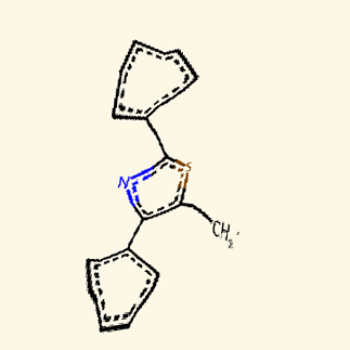 [CH2]c1sc(-c2ccccc2)nc1-c1ccccc1